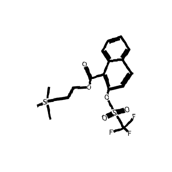 C[Si](C)(C)CCOC(=O)c1c(OS(=O)(=O)C(F)(F)F)ccc2ccccc12